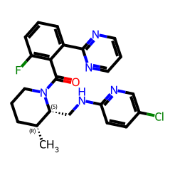 C[C@@H]1CCCN(C(=O)c2c(F)cccc2-c2ncccn2)[C@@H]1CNc1ccc(Cl)cn1